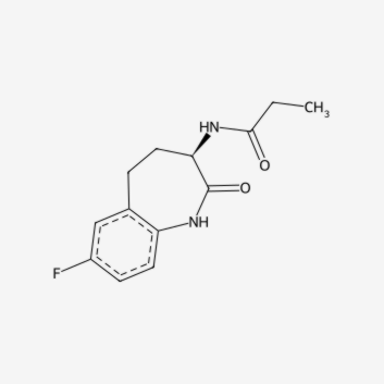 CCC(=O)N[C@@H]1CCc2cc(F)ccc2NC1=O